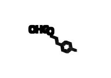 Cc1ccc(/C=C/CO[C]=O)cc1